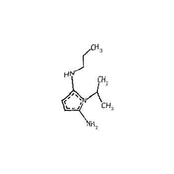 CCCNc1ccc(N)n1C(C)C